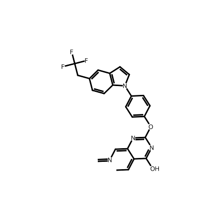 C=N/C=c1/nc(Oc2ccc(-n3ccc4cc(CC(F)(F)F)ccc43)cc2)nc(O)/c1=C/C